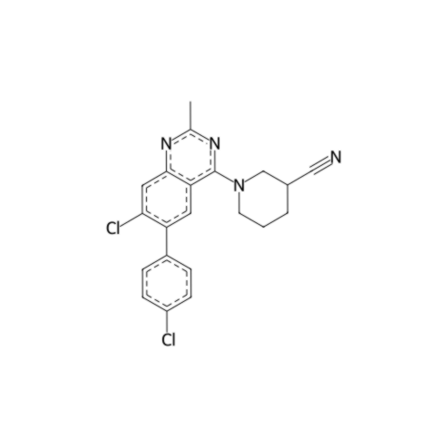 Cc1nc(N2CCCC(C#N)C2)c2cc(-c3ccc(Cl)cc3)c(Cl)cc2n1